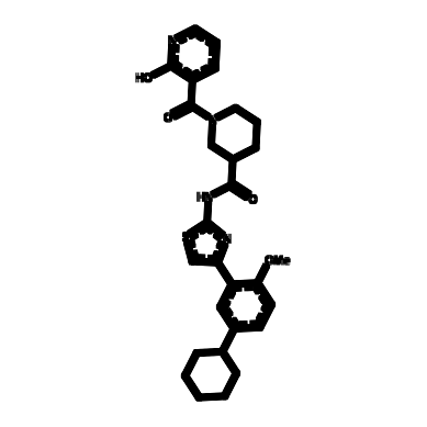 COc1ccc(C2CCCCC2)cc1-c1csc(NC(=O)C2CCCN(C(=O)c3cccnc3O)C2)n1